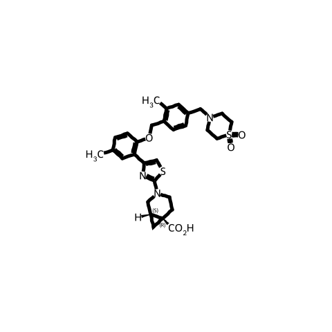 Cc1ccc(OCc2ccc(CN3CCS(=O)(=O)CC3)cc2C)c(-c2csc(N3CC[C@]4(C(=O)O)C[C@@H]4C3)n2)c1